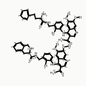 CCOc1cc2ncc(C(N)=O)c(Nc3cccc(CNC(=O)[C@H](N)CCc4ccccc4)c3CC)c2cc1OCC.CCOc1cc2ncc(C(N)=O)c(Nc3cccc(CNC(=O)[C@H]4Cc5ccccc5CN4)c3CC)c2cc1OCC